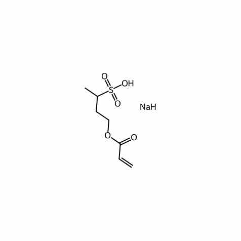 C=CC(=O)OCCC(C)S(=O)(=O)O.[NaH]